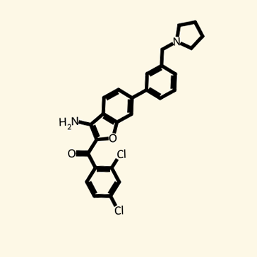 Nc1c(C(=O)c2ccc(Cl)cc2Cl)oc2cc(-c3cccc(CN4CCCC4)c3)ccc12